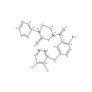 Cc1cnnc(Cc2ccc(F)c(C(=O)N3CCN(c4ccccc4)C(=O)C3)c2)c1C